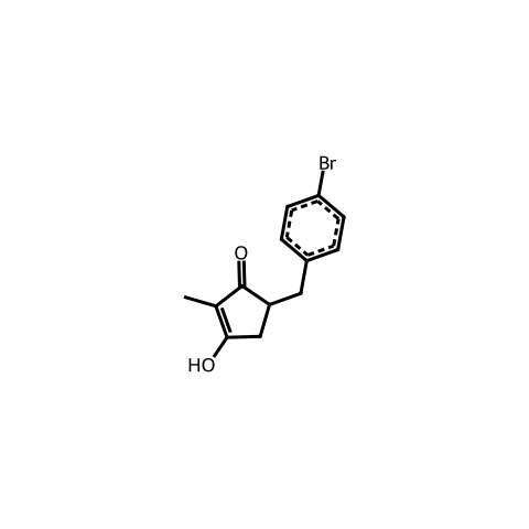 CC1=C(O)CC(Cc2ccc(Br)cc2)C1=O